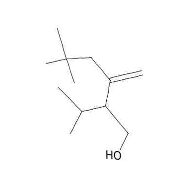 C=C(CC(C)(C)C)C(CO)C(C)C